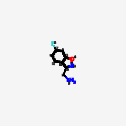 NCc1noc2cc(F)ccc12